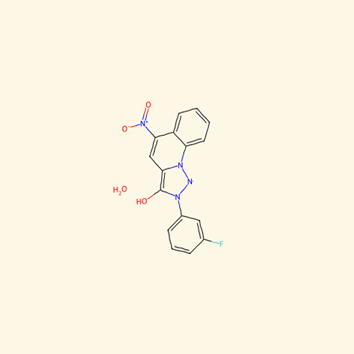 O.O=[N+]([O-])C1=CC2=C(O)N(c3cccc(F)c3)[N]N2c2ccccc21